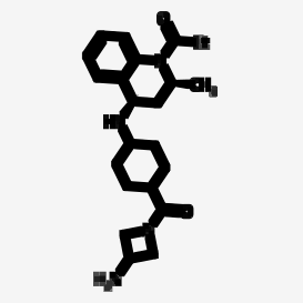 CCC(=O)N1c2ccccc2[C@H](NC2CCC(C(=O)N3CC(N)C3)CC2)C[C@@H]1C